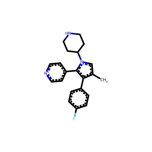 Cc1cn(C2CCNCC2)c(-c2ccncc2)c1-c1ccc(F)cc1